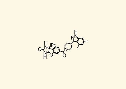 Cc1cc(C)c2c(C3CCN(C(=O)c4ccc(C5(C(C)C)NC(=O)NC5=O)cc4)CC3)n[nH]c2c1